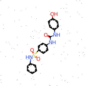 O=C(Nc1ccc(O)cc1)Nc1ccc(S(=O)(=O)Nc2ccccc2)cc1